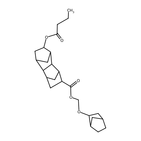 CCCC(=O)OC1CC2CC1C1C3CC(CC3C(=O)OCOC3CC4CCC3C4)C21